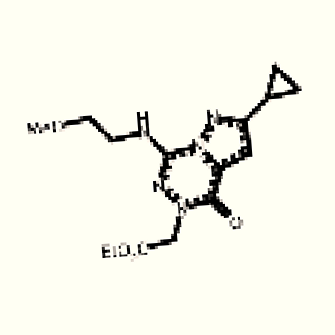 CCOC(=O)Cn1nc(NCCOC)n2nc(C3CC3)cc2c1=O